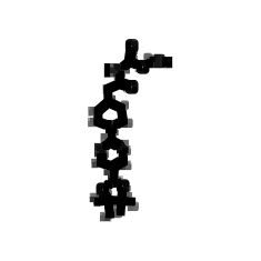 CC(C)(C)OC(=O)NC(=O)CC1CCN(c2ncc(B3OC(C)(C)C(C)(C)O3)cn2)CC1